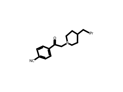 CC(C)CC1CCN(CC(=O)c2ccc(C#N)cc2)CC1